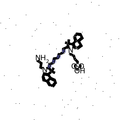 CC1(C)C(/C=C/C=C/C=C/C=C2/N(CCCN)c3ccc4ccccc4c3C2(C)C)=[N+](CCCCS(=O)(=O)O)c2ccc3ccccc3c21